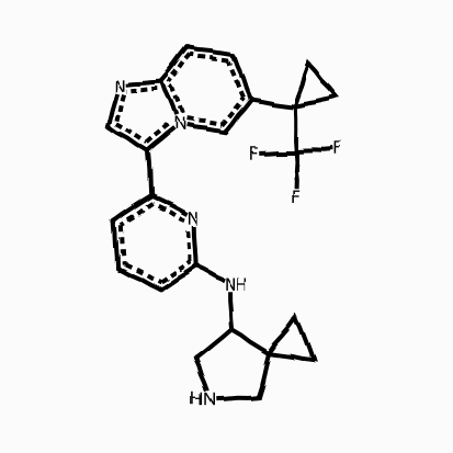 FC(F)(F)C1(c2ccc3ncc(-c4cccc(NC5CNCC56CC6)n4)n3c2)CC1